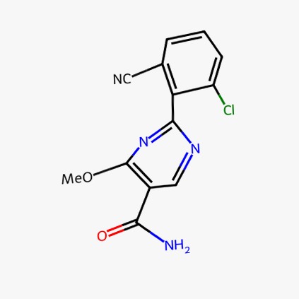 COc1nc(-c2c(Cl)cccc2C#N)ncc1C(N)=O